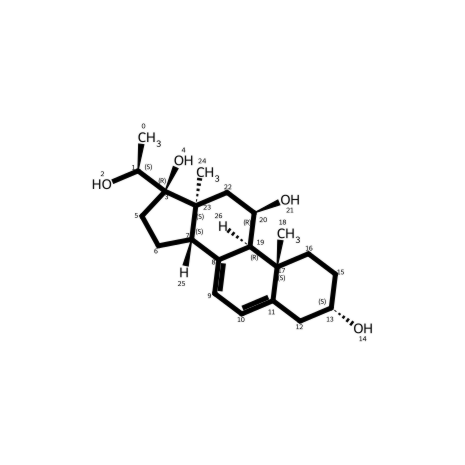 C[C@H](O)[C@@]1(O)CC[C@H]2C3=CC=C4C[C@@H](O)CC[C@@]4(C)[C@@H]3[C@H](O)C[C@@]21C